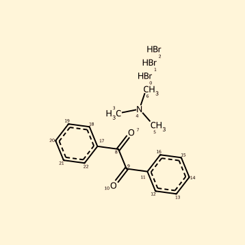 Br.Br.Br.CN(C)C.O=C(C(=O)c1ccccc1)c1ccccc1